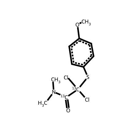 COc1ccc(S[13C](Cl)(Cl)[13C](=O)N(C)C)cc1